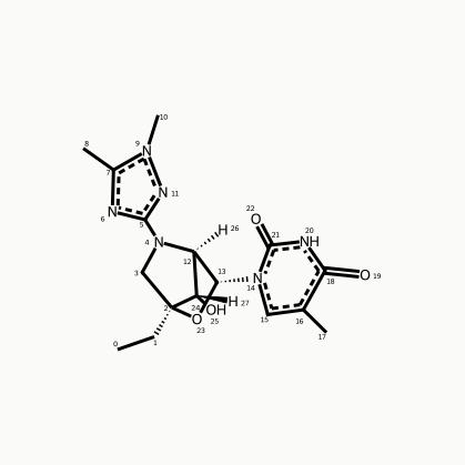 CC[C@@]12CN(c3nc(C)n(C)n3)[C@@H]([C@H](n3cc(C)c(=O)[nH]c3=O)O1)[C@@H]2O